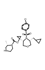 C[C@H]1CNCCN1C(=O)OC1([C@H]2COC[C@@H](CC3CC3)N2S(=O)(=O)c2ccc(Cl)cc2)CC1